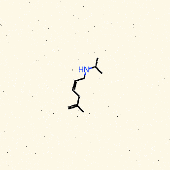 C=C(C)C/C=C\CNC(C)C